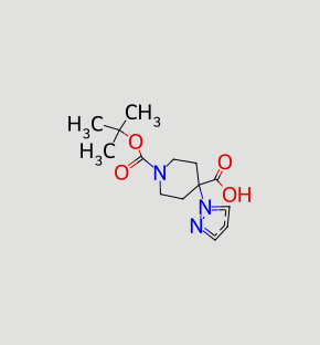 CC(C)(C)OC(=O)N1CCC(C(=O)O)(n2cccn2)CC1